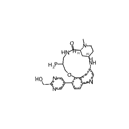 CN1CC[C@H]2C[C@H]1C(=O)NCC(P)COc1c(-c3cnc(CO)nc3)ccc3ncc(cc13)N2